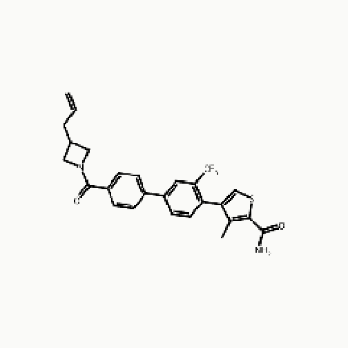 C=CCC1CN(C(=O)c2ccc(-c3ccc(-c4csc(C(N)=O)c4C)c(C(F)(F)F)c3)cc2)C1